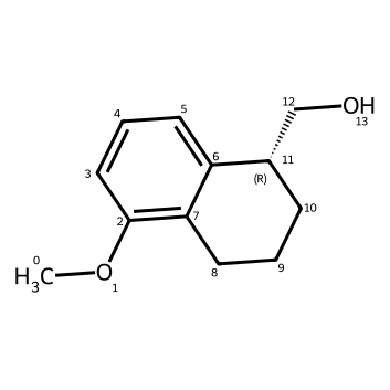 COc1cccc2c1CCC[C@H]2CO